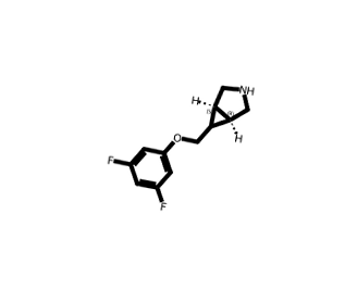 Fc1cc(F)cc(OCC2[C@H]3CNC[C@@H]23)c1